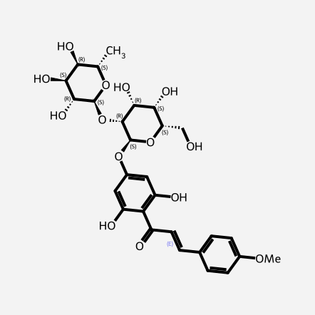 COc1ccc(/C=C/C(=O)c2c(O)cc(O[C@@H]3O[C@@H](CO)[C@@H](O)[C@@H](O)[C@H]3O[C@@H]3O[C@@H](C)[C@H](O)[C@H](O)[C@H]3O)cc2O)cc1